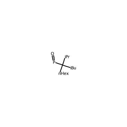 CCCCCCC(P=O)(C(C)C)C(C)CC